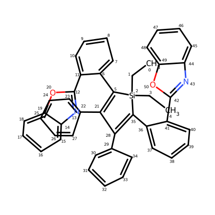 CC[Si]1(CC)C(c2ccccc2-c2nc3ccccc3o2)=C(c2ccccc2)C(c2ccccc2)=C1c1ccccc1-c1nc2ccccc2o1